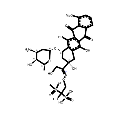 COc1cccc2c1C(=O)c1c(O)c3c(c(O)c1C2=O)C[C@@](O)(/C(CO)=N/OCC(O)(P(C)(=O)O)P(=O)(O)O)C[C@@H]3O[C@H]1C[C@H](N)[C@H](O)[C@H](C)O1